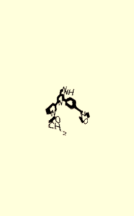 C=CC(=O)N1CCCC(c2cc3cn[nH]c3c(-c3ccc(CN4CCOCC4)cc3)n2)C1